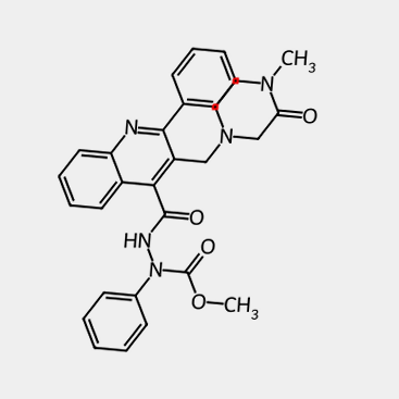 COC(=O)N(NC(=O)c1c(CN2CCN(C)C(=O)C2)c(-c2ccccc2)nc2ccccc12)c1ccccc1